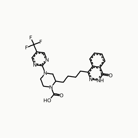 O=C(O)N1CCN(c2ncc(C(F)(F)F)cn2)CC1CCCCc1n[nH]c(=O)c2ccccc12